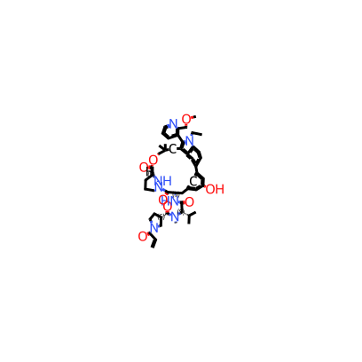 C=CC(=O)N1CC[C@H](C(=O)N(C)[C@H](C(=O)N[C@H]2Cc3cc(O)cc(c3)-c3ccc4c(c3)c(c(-c3cccnc3COC)n4CC)CC(C)(C)COC(=O)[C@@H]3CCCN(N3)C2=O)C(C)C)C1